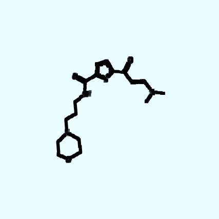 CN(C)/C=C/C(=O)c1ccc(C(=O)NCCCN2CCOCC2)s1